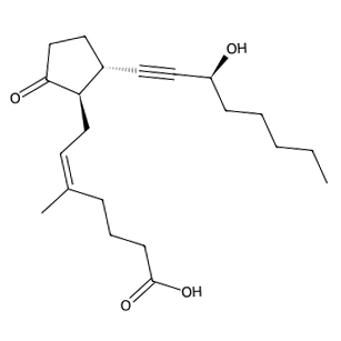 CCCCC[C@H](O)C#C[C@H]1CCC(=O)[C@@H]1C/C=C(/C)CCCC(=O)O